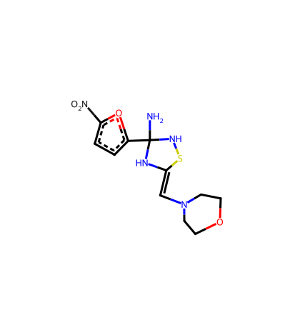 NC1(c2ccc([N+](=O)[O-])o2)NSC(=CN2CCOCC2)N1